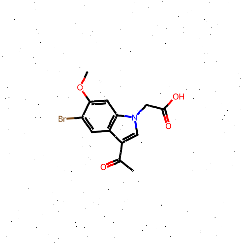 COc1cc2c(cc1Br)c(C(C)=O)cn2CC(=O)O